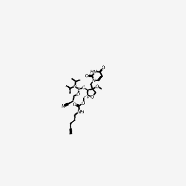 C#CCCCNC(=O)OC[C@H]1OCC(Cn2ccc(=O)[nH]c2=O)(OC)C1OP(OCCC#N)N(C(C)C)C(C)C